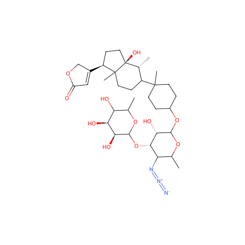 CC1OC(O[C@H]2C(N=[N+]=[N-])C(C)OC(OC3CCC(C)(C4CCC5(C)[C@@H](C6=CC(=O)OC6)CC[C@]5(O)[C@@H]4C)CC3)[C@H]2O)[C@@H](O)[C@@H](O)C1O